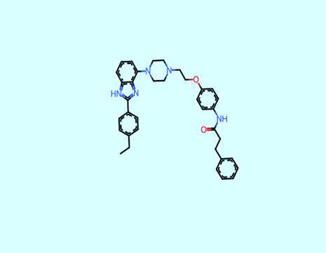 CCc1ccc(-c2nc3c(N4CCN(CCOc5ccc(NC(=O)CCc6ccccc6)cc5)CC4)cccc3[nH]2)cc1